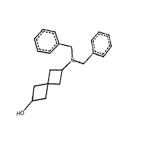 OC1CC2(C1)CC(N(Cc1ccccc1)Cc1ccccc1)C2